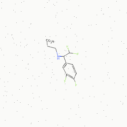 O=C(O)CCN[C@H](c1ccc(F)c(F)c1)C(F)F